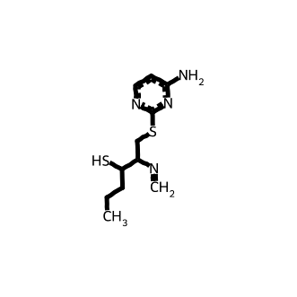 C=NC(CSc1nccc(N)n1)C(S)CCC